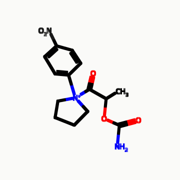 CC(OC(N)=O)C(=O)[N+]1(c2ccc([N+](=O)[O-])cc2)CCCC1